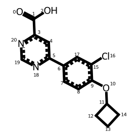 O=C(O)c1cc(-c2ccc(OC3CCC3)c(Cl)c2)ncn1